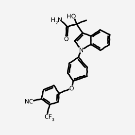 CC(O)(C(N)=O)c1cn(-c2ccc(Oc3ccc(C#N)c(C(F)(F)F)c3)cc2)c2ccccc12